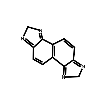 c1cc2c3c(ccc2c2c1=NCN=2)=NCN=3